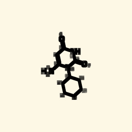 Nc1cc(=O)[nH]c(=O)n1C1CCCCC1